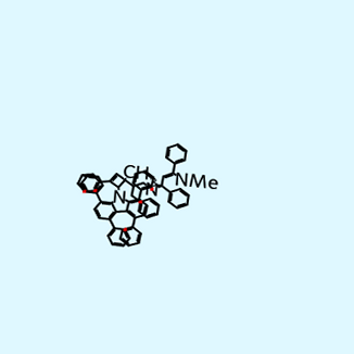 CN/C(=C\C(=N/CC(Cc1ccccc1)[C@]1(C)C=C(c2ccccc2)[C@@H]1n1c2c(-c3ccccc3)ccc(-c3ccccc3)c2c2c(-c3ccccc3)ccc(-c3ccccc3)c21)c1ccccc1)c1ccccc1